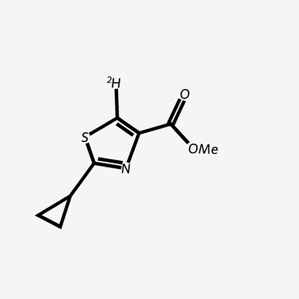 [2H]c1sc(C2CC2)nc1C(=O)OC